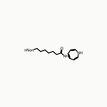 C1=CC=CNC=C1.CCCCCCCCCCCCCCCC(N)=O